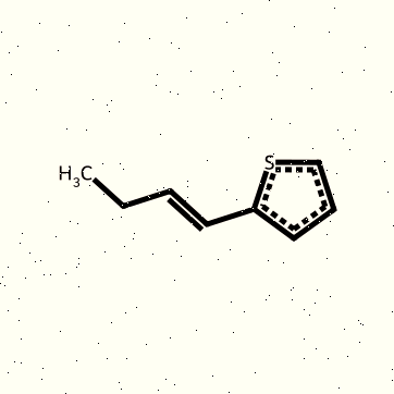 CC/C=C/c1cccs1